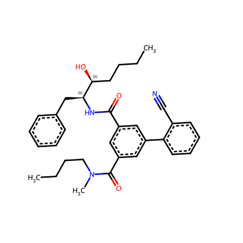 CCCC[C@H](O)[C@H](Cc1ccccc1)NC(=O)c1cc(C(=O)N(C)CCCC)cc(-c2ccccc2C#N)c1